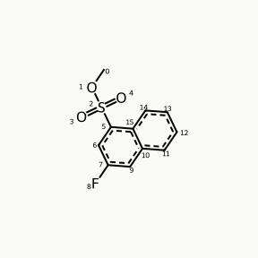 COS(=O)(=O)c1cc(F)cc2ccccc12